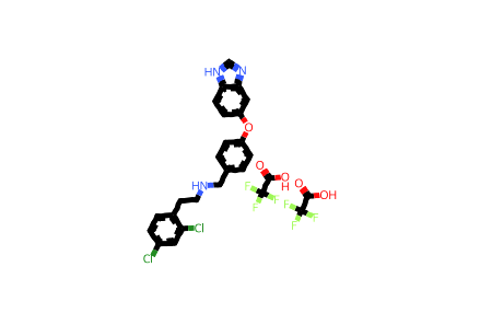 Clc1ccc(CCNCc2ccc(Oc3ccc4[nH]cnc4c3)cc2)c(Cl)c1.O=C(O)C(F)(F)F.O=C(O)C(F)(F)F